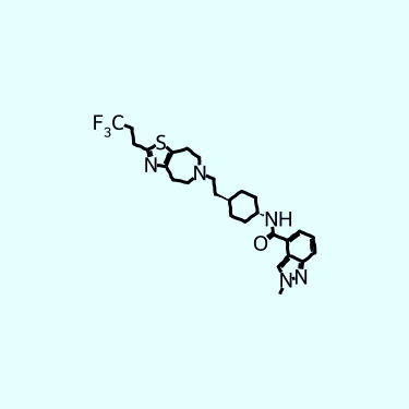 Cn1cc2c(C(=O)N[C@H]3CC[C@H](CCN4CCc5nc(CCC(F)(F)F)sc5CC4)CC3)cccc2n1